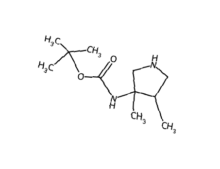 CC1CNCC1(C)NC(=O)OC(C)(C)C